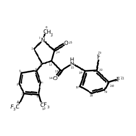 CN1CC(c2ccc(C(F)(F)F)c(C(F)(F)F)c2)C(C(=O)Nc2cccc(F)c2F)C1=O